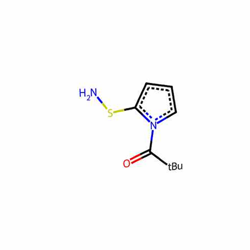 CC(C)(C)C(=O)n1cccc1SN